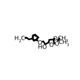 C=CCc1cccc(OCC(O)C2CC3OC(C)(C)OC3O2)c1